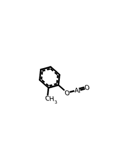 Cc1ccccc1[O][Al]=[O]